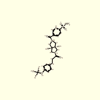 NS(=O)(=O)c1ccc(C(=O)N2C[C@H]3CN(C(=O)CCc4ccc(OC(F)(F)F)cc4)C[C@@H]3C2)cn1